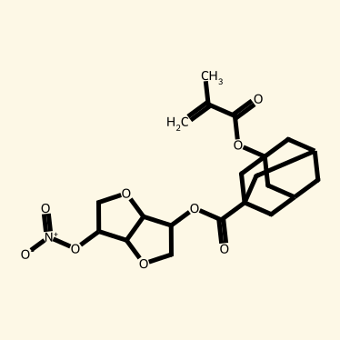 C=C(C)C(=O)OC12CC3CC(C1)CC(C(=O)OC1COC4C(O[N+](=O)[O-])COC14)(C3)C2